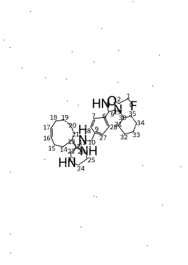 FCC1ONC(c2ccc(CNC3(C4CC/C=C\CCCC4)CNCCN3)cc2)N1C1CCCCC1